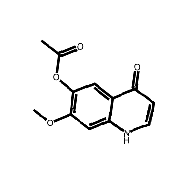 COc1cc2[nH]ccc(=O)c2cc1OC(C)=O